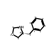 c1ccc(C[C@@H]2COCN2)cc1